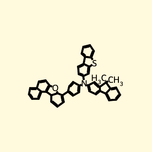 CC1(C)c2ccccc2-c2ccc(N(c3ccc(C4=CC=CC5c6c(ccc7ccccc67)OC45)cc3)c3ccc4c(c3)sc3ccccc34)cc21